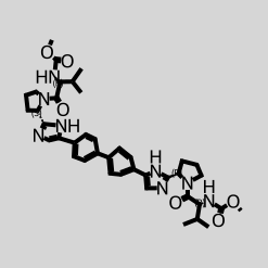 COC(=O)N[C@@H](C(=O)N1CCC[C@@H]1c1ncc(-c2ccc(-c3ccc(-c4cnc([C@@H]5CCCN5C(=O)[C@H](NC(=O)OC)C(C)C)[nH]4)cc3)cc2)[nH]1)C(C)C